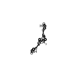 CC1c2c(cccc2N2CCN(CCCCOc3ccc4ccc(=O)[nH]c4c3)CC2)SC2c3c(cccc3N3CCN(CCCCOc4ccc5ccc(=O)[nH]c5c4)CC3)SC12